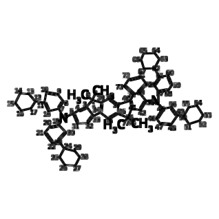 CC1(C)c2cc(N(c3cccc(C4CCCCC4)c3)c3cccc(C4CCCCC4)c3)ccc2-c2cc3c(cc21)-c1c(cc(N(c2cccc(C4CCCCC4)c2)c2cccc(C4CCCCC4)c2)c2ccccc12)C3(C)C